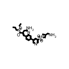 CCCN(OCC)C(=O)C1=Cc2ccc(-c3cncc(S(=O)(=O)N4CC(CN)C4)c3)cc2N=C(N)C1